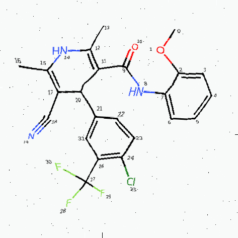 COc1ccccc1NC(=O)C1=C(C)NC(C)=C(C#N)C1c1ccc(Cl)c(C(F)(F)F)c1